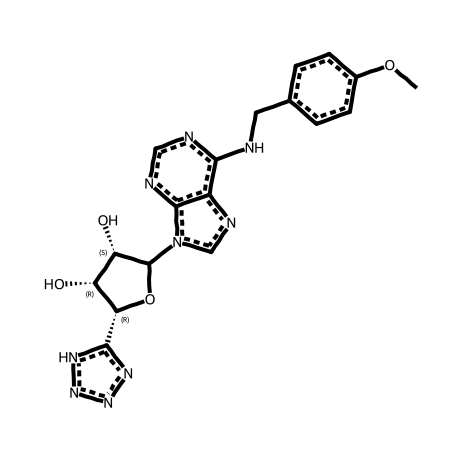 COc1ccc(CNc2ncnc3c2ncn3C2O[C@H](c3nnn[nH]3)[C@H](O)[C@@H]2O)cc1